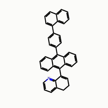 C1=C(c2c3ccccc3c(-c3ccc(-c4cccc5ccccc45)cc3)c3ccccc23)c2ncccc2CC1